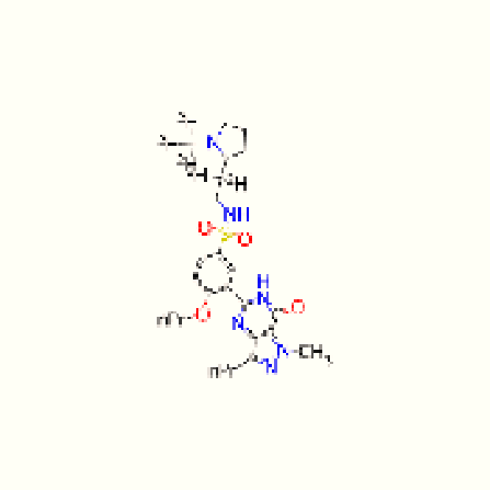 [2H]C([2H])(CNS(=O)(=O)c1ccc(OCCC)c(-c2nc3c(CCC)nn(C)c3c(=O)[nH]2)c1)C1CCCN1C([2H])([2H])[2H]